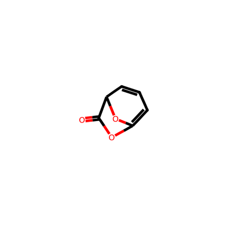 O=C1OC2=CC=CC1O2